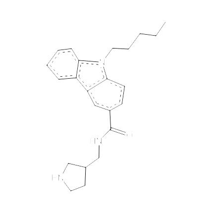 CCCCCn1c2ccccc2c2cc(C(=O)NCC3CCNC3)ccc21